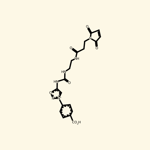 O=C(CCN1C(=O)C=CC1=O)NCCNC(=O)Nc1c[n+](-c2ccc(C(=O)O)cc2)no1